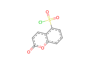 O=c1ccc2c(S(=O)(=O)Cl)cccc2o1